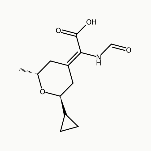 C[C@@H]1C/C(=C(/NC=O)C(=O)O)C[C@@H](C2CC2)O1